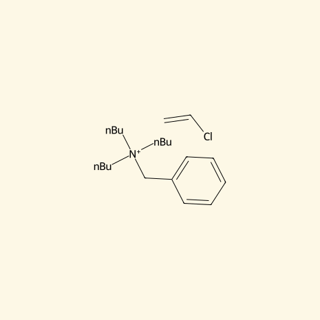 C=CCl.CCCC[N+](CCCC)(CCCC)Cc1ccccc1